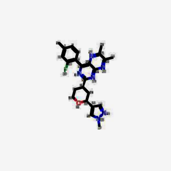 Cc1ccc(-c2nc([C@@H]3CCO[C@H](c4cnn(C)c4)C3)nc3nc(C)c(C)nc23)c(F)c1